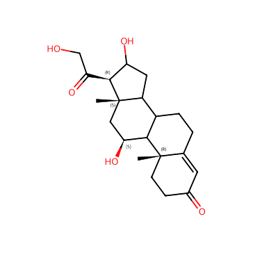 C[C@]12CCC(=O)C=C1CCC1C2[C@@H](O)C[C@@]2(C)C1CC(O)[C@@H]2C(=O)CO